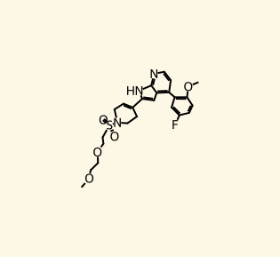 COCCOCCS(=O)(=O)N1CC=C(c2cc3c(-c4cc(F)ccc4OC)ccnc3[nH]2)CC1